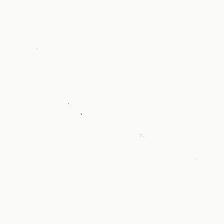 O=C(N[C@@H](Cc1ccc(OCCNC(=O)Oc2ccc([N+](=O)[O-])cc2)cc1)C(=O)O)OCC1c2ccccc2-c2ccccc21